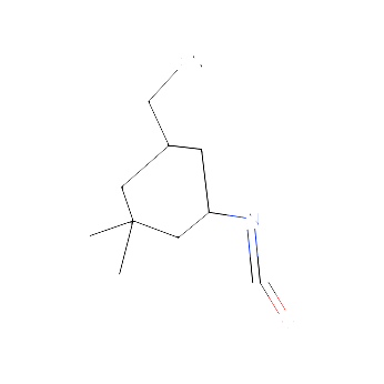 CC1(C)CC(CC#N)CC(N=C=O)C1